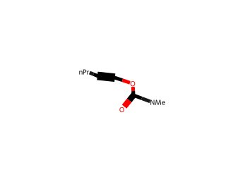 CCCC#COC(=O)NC